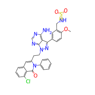 COc1ccc(-c2nn(CCc3cc4cccc(Cl)c4c(=O)n3-c3ccccc3)c3ncnc(N)c23)cc1CN[SH](=O)=O